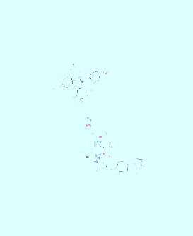 Cc1ncsc1-c1ccc(CNC(=O)[C@@H]2C[C@@H](O)CN2C(=O)C(NC(=O)CCC(=O)NCCOc2ccc(C(=C(CCCl)c3ccc(O)cc3)c3ccc(O)cc3)cc2)C(C)(C)C)cc1